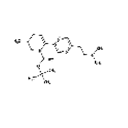 CC1CC=C(c2ccc(CCN(C)C)cc2)N(C(=O)OC(C)(C)C)C1